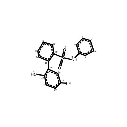 O=S(=O)(Nc1ccccc1)c1ccccc1-c1cc(F)ccc1O